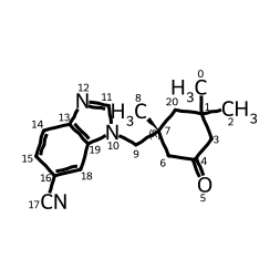 CC1(C)CC(=O)C[C@](C)(Cn2cnc3ccc(C#N)cc32)C1